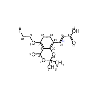 CC1(C)OC(=O)c2c(OCCF)ccc(/C=C/C(=O)O)c2O1